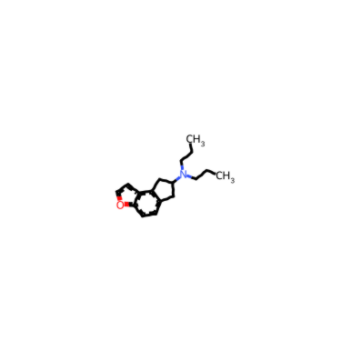 CCCN(CCC)C1Cc2ccc3occc3c2C1